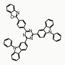 c1ccc(-n2c3ccccc3c3cc(-c4nc(-c5ccc(-c6nc7ccccc7o6)cc5)nc(-c5ccc6c7ccccc7n(-c7ccccc7)c6c5)n4)ccc32)cc1